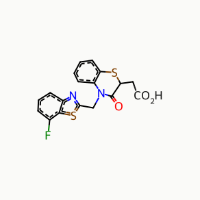 O=C(O)CC1Sc2ccccc2N(Cc2nc3cccc(F)c3s2)C1=O